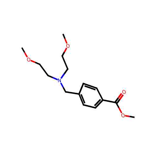 COCCN(CCOC)Cc1ccc(C(=O)OC)cc1